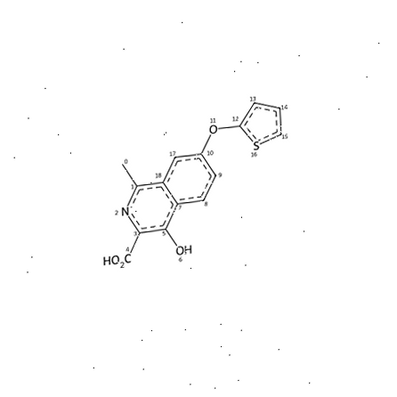 Cc1nc(C(=O)O)c(O)c2ccc(Oc3cccs3)cc12